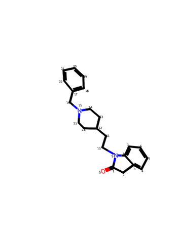 O=C1Cc2ccccc2N1CCC1CCN(Cc2ccccc2)CC1